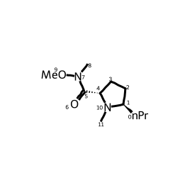 CCC[C@@H]1CC[C@@H](C(=O)N(C)OC)N1C